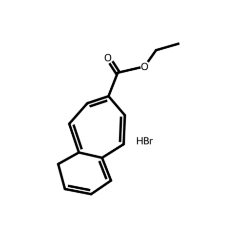 Br.CCOC(=O)C1=CC=C2CC=CC=C2C=C1